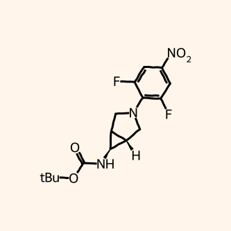 CC(C)(C)OC(=O)N[C@H]1C2CN(c3c(F)cc([N+](=O)[O-])cc3F)C[C@@H]21